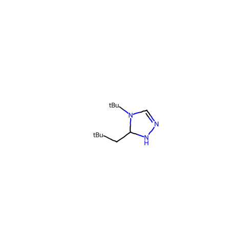 CC(C)(C)CC1NN=CN1C(C)(C)C